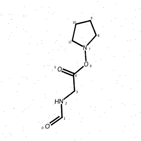 O=CNCC(=O)ON1CCCC1